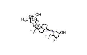 C=C1/C(=C\C=C2/CCC[C@@]3(C)C2CCC3[C@@](C)(CCCCO)CCCC(C)(C)O)CC(O)C[C@@H]1F